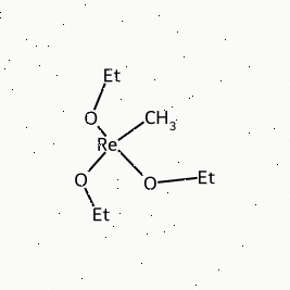 CC[O][Re]([CH3])([O]CC)[O]CC